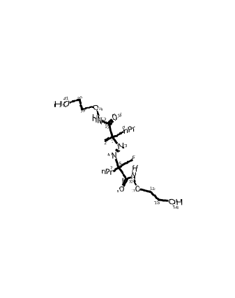 CCCC(C)(N=NC(C)(CCC)C(=O)NOCCO)C(=O)NOCCO